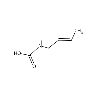 CC=CCNC(=O)O